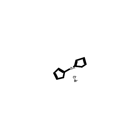 C1=CC[C]([Zr+2][C]2=CC=CC2)=C1.[Br-].[Cl-]